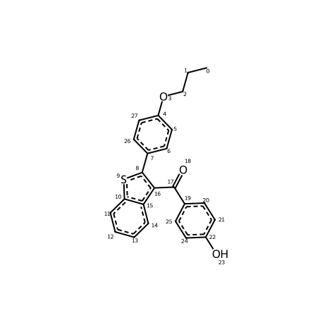 CCCOc1ccc(-c2sc3ccccc3c2C(=O)c2ccc(O)cc2)cc1